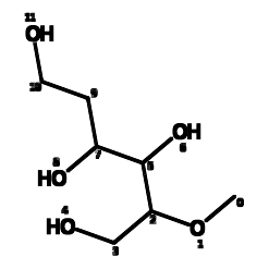 COC(CO)C(O)C(O)CCO